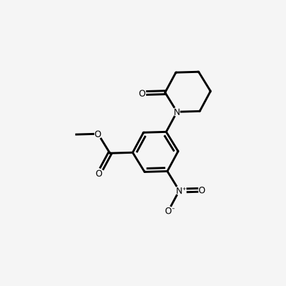 COC(=O)c1cc(N2CCCCC2=O)cc([N+](=O)[O-])c1